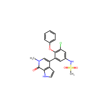 Cn1cc(-c2cc(NS(C)(=O)=O)cc(Cl)c2Oc2ccccc2)c2cc[nH]c2c1=O